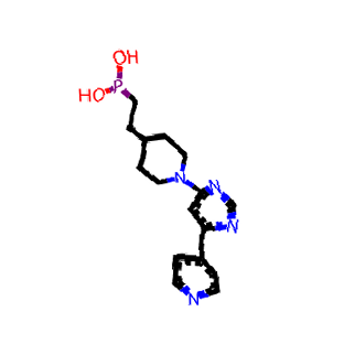 OP(O)CCC1CCN(c2cc(-c3ccncc3)ncn2)CC1